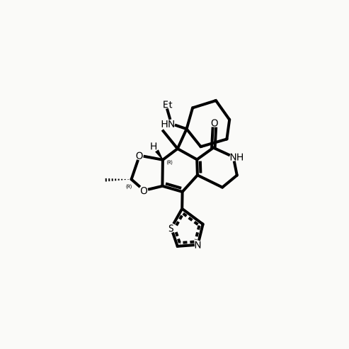 CCNC1(C2(C)C3=C(CCNC3=O)C(c3cncs3)=C3O[C@H](C)O[C@@H]32)CCCCC1